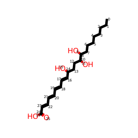 CCCCCCCCC(O)C(O)CCC(O)C=CC=CC=CC=CC(=O)O